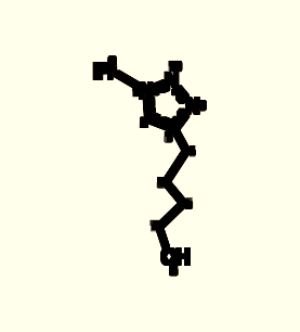 CC(C)n1cc(CCCCO)nn1